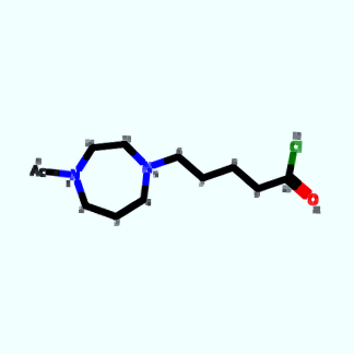 CC(=O)N1CCCN(CCCCC(=O)Cl)CC1